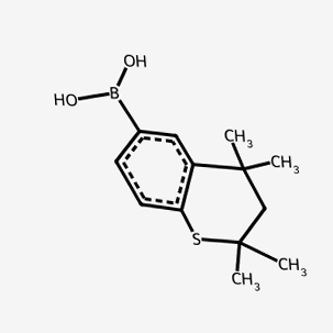 CC1(C)CC(C)(C)c2cc(B(O)O)ccc2S1